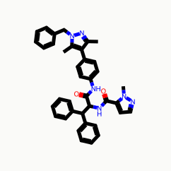 Cc1nn(Cc2ccccc2)c(C)c1-c1ccc(NC(=O)C(NC(=O)c2ccnn2C)C(c2ccccc2)c2ccccc2)cc1